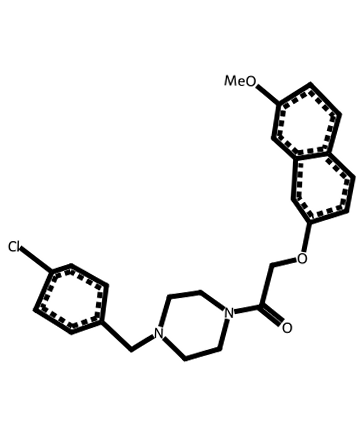 COc1ccc2ccc(OCC(=O)N3CCN(Cc4ccc(Cl)cc4)CC3)cc2c1